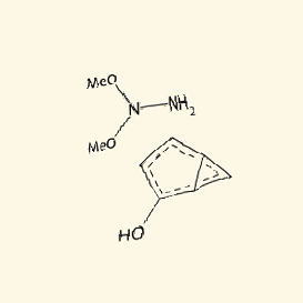 CON(N)OC.Oc1ccc2cc1-2